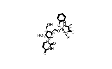 CC(C)OC(=O)[C@H](C)N[P@@](=S)(OC[C@H]1O[C@@H](n2ccc(=O)[nH]c2=O)[C@H](O)[C@@H]1CO)Oc1ccccc1